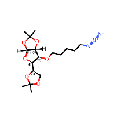 CC1(C)O[C@H]2O[C@H]([C@H]3COC(C)(C)O3)[C@H](OCCCCCN=[N+]=[N-])[C@H]2O1